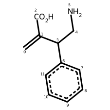 C=C(C(=O)O)C(CN)c1ccccc1